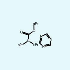 CCCOC(=O)N(CCC)CCC.c1ncncn1